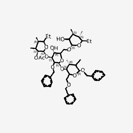 CCC1O[C@@H](O[C@@H]2C(OCc3ccccc3)[C@H](O[C@@H]3C(COCc4ccccc4)O[C@@H](OCc4ccccc4)C(C)[C@H]3C)OC(CO[C@H]3OC(CC)[C@@H](C)[C@H](C)C3O)[C@H]2O)[C@@H](OC(C)=O)C(C)[C@H]1C